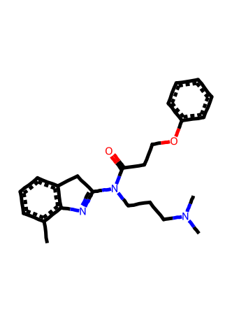 Cc1cccc2c1N=C(N(CCCN(C)C)C(=O)CCOc1ccccc1)C2